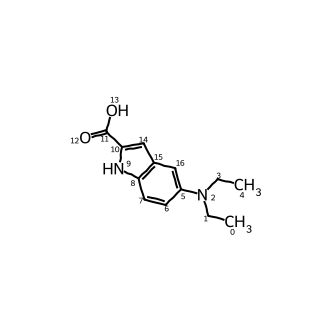 CCN(CC)c1ccc2[nH]c(C(=O)O)cc2c1